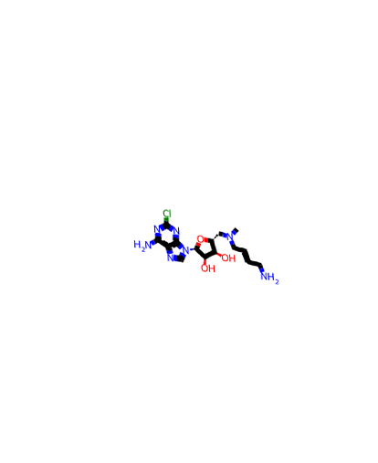 CN(C/C=C/CN)C[C@H]1O[C@@H](n2cnc3c(N)nc(Cl)nc32)[C@H](O)[C@@H]1O